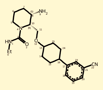 CCNC(=O)N1CCC[C@H](N)[C@@H]1COC1CCC(c2cccc(C#N)c2)CC1